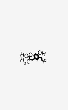 CC(Cc1ccc(O)c(CCF)c1)C(=O)O